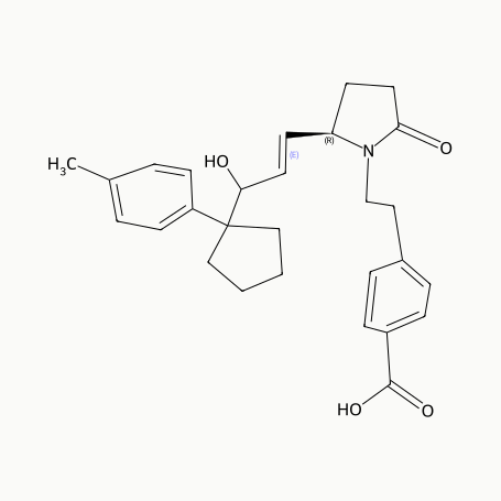 Cc1ccc(C2(C(O)/C=C/[C@H]3CCC(=O)N3CCc3ccc(C(=O)O)cc3)CCCC2)cc1